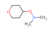 CN(C)OC1CCOCC1